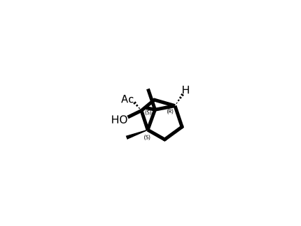 CC(=O)[C@]1(O)C[C@H]2CC[C@@]1(C)C2(C)C